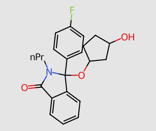 CCCN1C(=O)c2ccccc2C1(OC1CCC(O)C1)c1ccc(F)cc1